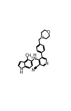 Cc1c(Nc2c(C#N)cncc2-c2ccc(CN3CCOCC3)cc2)ccc2[nH]ccc12